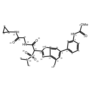 COC(=O)Nc1cccc(-c2cc(F)c3nc(C(C(=O)NCC(=O)NC4CC4)S(=O)(=O)N(C)C)sc3c2)c1